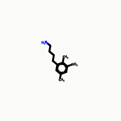 Cc1cc(CCCCN)c(C)c([N+](=O)[O-])c1